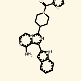 Nc1nccn2c(C3CCN(C(=O)c4ccco4)CC3)nc(-c3cc4ccccc4[nH]3)c12